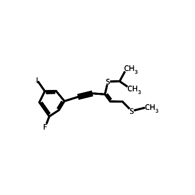 CSC/C=C(/C#Cc1cc(F)cc(I)c1)SC(C)C